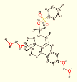 COCOc1ccc2c(c1)C[C@@H](C(C)CC(C)(C)OS(=O)(=O)c1ccc(C)cc1)C1C2CC[C@@]2(C)C1CC[C@@H]2OCOC